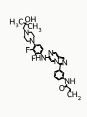 C=CC(=O)Nc1cccc(-c2ncc3cnc(Nc4ccc(N5CCN(CC(C)(C)O)CC5)c(F)c4F)cn23)c1